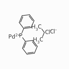 CCC.[Cl-].[Cl-].[Pd+2][P](c1ccccc1)c1ccccc1